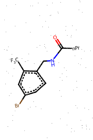 CCCC(=O)NCc1ccc(Br)cc1C(F)(F)F